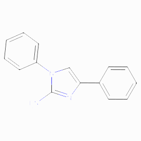 Nc1nc(-c2ccccc2)cn1-c1ccccc1